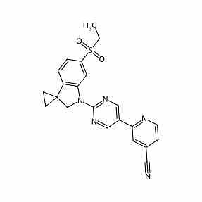 CCS(=O)(=O)c1ccc2c(c1)N(c1ncc(-c3cc(C#N)ccn3)cn1)CC21CC1